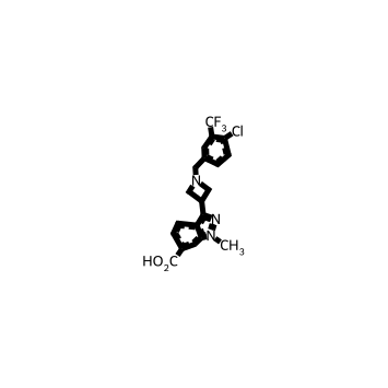 Cn1nc(C2CN(Cc3ccc(Cl)c(C(F)(F)F)c3)C2)c2ccc(C(=O)O)cc21